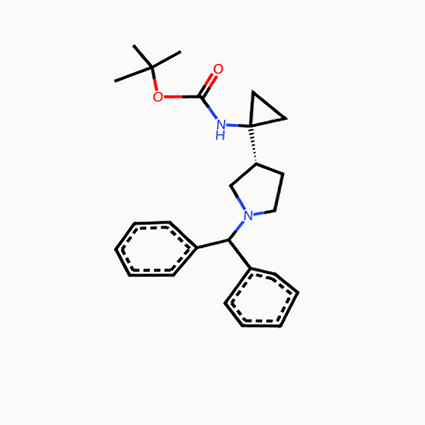 CC(C)(C)OC(=O)NC1([C@@H]2CCN(C(c3ccccc3)c3ccccc3)C2)CC1